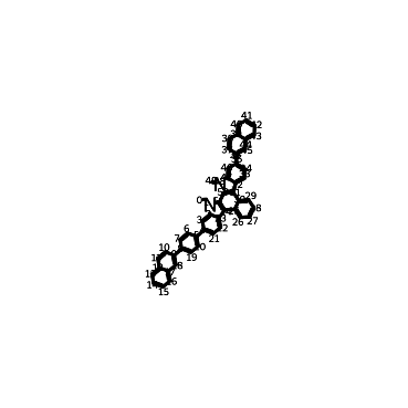 Cn1c2cc(-c3ccc(-c4ccc5ccccc5c4)cc3)ccc2c2c3ccccc3c3c4ccc(-c5ccc6ccccc6c5)cc4n(C)c3c21